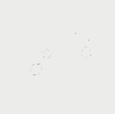 OCC1OC(Sc2cccc(O)c2)C(O)C(n2cc(-c3cc(F)c(F)c(F)c3)nn2)C1O